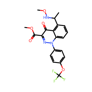 CONC(C)c1cccc2c1c(=O)c(C(=O)OC)nn2-c1ccc(OC(F)(F)F)cc1